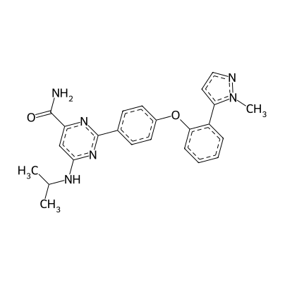 CC(C)Nc1cc(C(N)=O)nc(-c2ccc(Oc3ccccc3-c3ccnn3C)cc2)n1